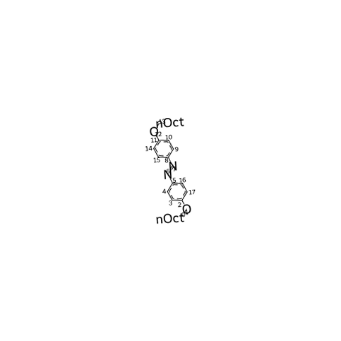 CCCCCCCCOc1ccc(/N=N/c2ccc(OCCCCCCCC)cc2)cc1